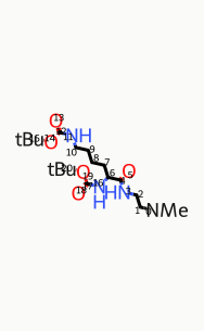 CNCCNC(=O)C(CCCCNC(=O)OC(C)(C)C)NC(=O)OC(C)(C)C